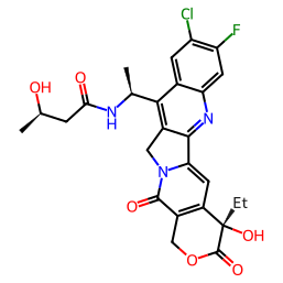 CC[C@@]1(O)C(=O)OCc2c1cc1n(c2=O)Cc2c-1nc1cc(F)c(Cl)cc1c2[C@H](C)NC(=O)C[C@@H](C)O